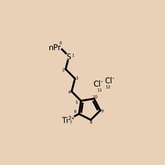 CCCSCCCC1=[C]([Ti+2])CC=C1.[Cl-].[Cl-]